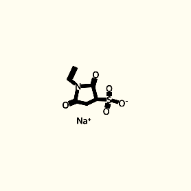 C=CN1C(=O)CC(S(=O)(=O)[O-])C1=O.[Na+]